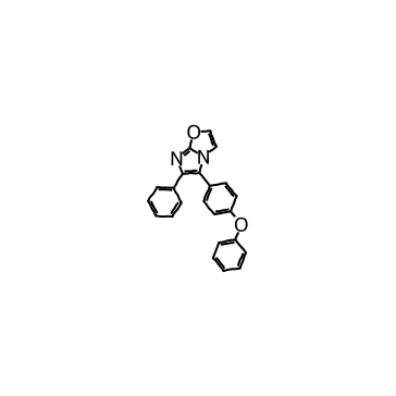 c1ccc(Oc2ccc(-c3c(-c4ccccc4)nc4occn34)cc2)cc1